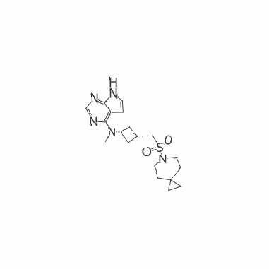 CN(c1ncnc2[nH]ccc12)[C@H]1C[C@@H](CS(=O)(=O)N2CCC3(CC2)CC3)C1